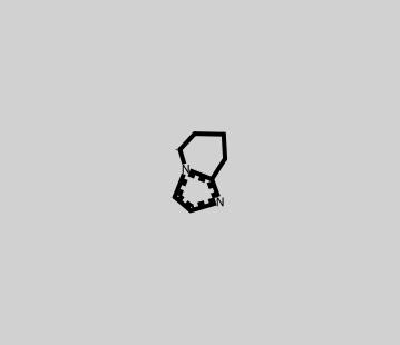 [CH]1CCCc2nccn21